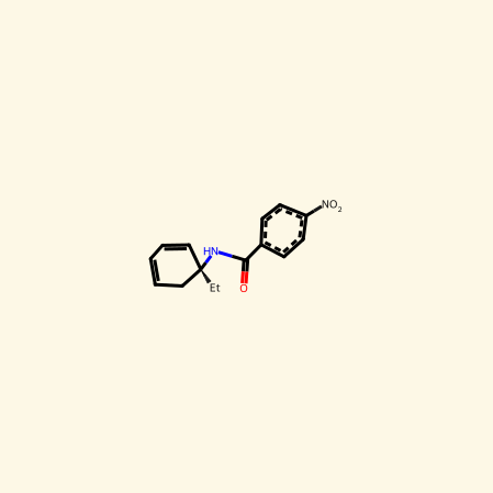 CC[C@]1(NC(=O)c2ccc([N+](=O)[O-])cc2)C=CC=CC1